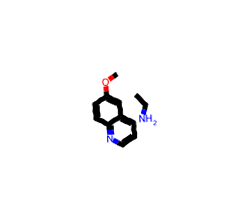 CCN.COc1ccc2ncccc2c1